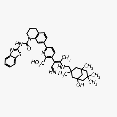 C/C(NCC1(C)CC2(C)CC(C)(C)CC(O)(C1)C2)=C(/C=N)c1ccc(-c2ccc3c(c2)N(C(=O)Nc2nc4ccccc4s2)CCC3)nc1C(=O)O